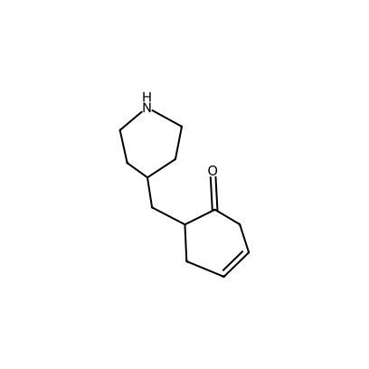 O=C1CC=CCC1CC1CCNCC1